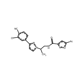 CC(=O)c1cc(C(=O)NCC(C)n2ccc(-c3ccc(C#N)c(Cl)c3)n2)no1